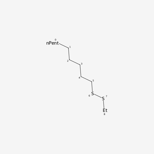 CCCCCCCCCCSSCC